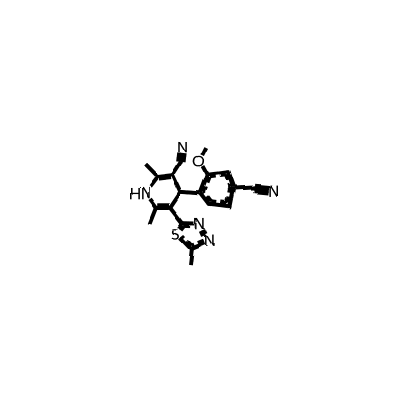 COc1cc(C#N)ccc1C1C(C#N)=C(C)NC(C)=C1c1nnc(C)s1